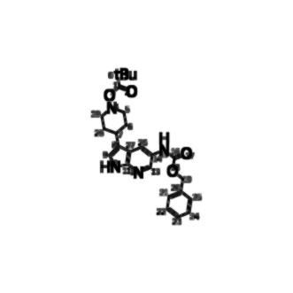 CC(C)(C)C(=O)ON1CCC(c2c[nH]c3ncc(NC(=O)OCc4ccccc4)cc23)CC1